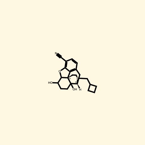 N#Cc1ccc2c3c1OC1C(O)CCC4(O)[C@@H](C2)N(CC2CCC2)CC[C@]314